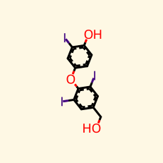 OCc1cc(I)c(Oc2ccc(O)c(I)c2)c(I)c1